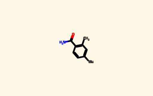 Cc1cc(C(C)(C)C)ccc1C(N)=O